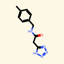 Cc1ccc(CNC(=O)Cc2nnn[nH]2)cc1